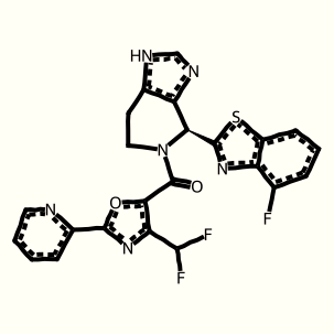 O=C(c1oc(-c2ccccn2)nc1C(F)F)N1CCc2[nH]cnc2[C@H]1c1nc2c(F)cccc2s1